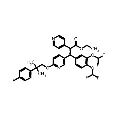 CCOC(=O)C(c1ccncc1)C(c1ccc(OCC(C)(C)c2ccc(F)cc2)nc1)c1ccc(OC(F)F)c(OC(F)F)c1